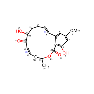 COc1cc(O)c2c(c1)/C=C/CC[C@H](O)C(=O)/C=C\CC(C)OC2=O